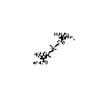 COC(=O)C1(/C=C(\C)SCCC(=O)OCCOC(=O)C2(C=C(C)C)CC2(C)C)CC1(C)C